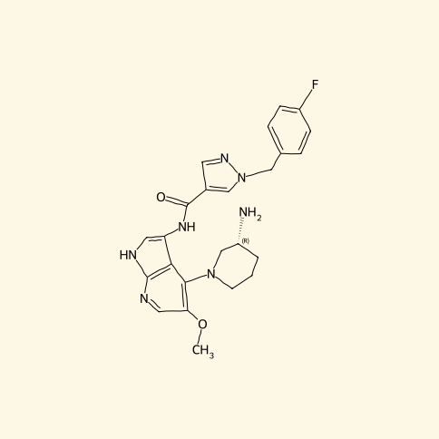 COc1cnc2[nH]cc(NC(=O)c3cnn(Cc4ccc(F)cc4)c3)c2c1N1CCC[C@@H](N)C1